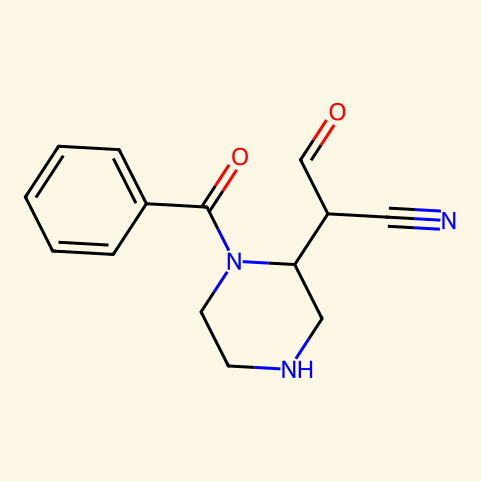 N#CC(C=O)C1CNCCN1C(=O)c1ccccc1